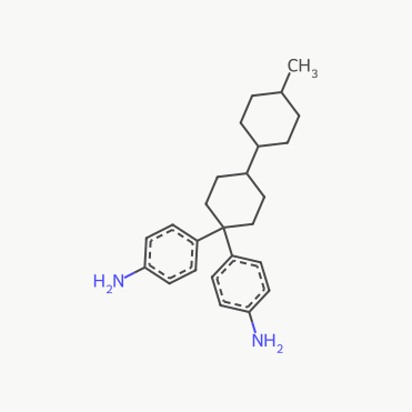 CC1CCC(C2CCC(c3ccc(N)cc3)(c3ccc(N)cc3)CC2)CC1